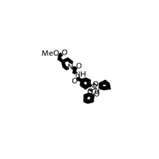 COC(=O)CC1CCN(C(=O)CNC(=O)c2ccc(S(=O)(=O)N(Oc3ccccc3)c3ccccc3)cc2)CC1